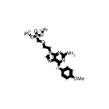 COc1ccc(Sc2nc(N)nc3c2ncn3CCOCP(=O)(OC(C)C)OC(C)C)cc1